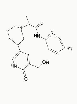 CC(C(=O)Nc1ccc(Cl)cn1)N1CCCC(c2c[nH]c(=O)c(CO)c2)C1